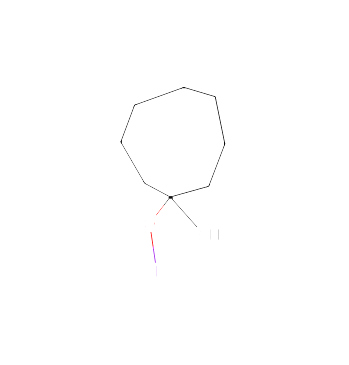 CC1(OI)CCCCCCC1